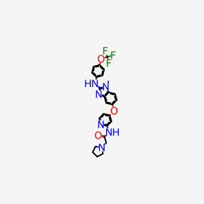 Cn1c(Nc2ccc(OC(F)(F)F)cc2)nc2cc(Oc3ccnc(NC(=O)CN4CCCC4)c3)ccc21